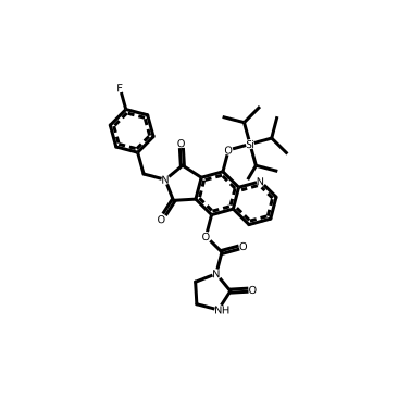 CC(C)[Si](Oc1c2c(c(OC(=O)N3CCNC3=O)c3cccnc13)C(=O)N(Cc1ccc(F)cc1)C2=O)(C(C)C)C(C)C